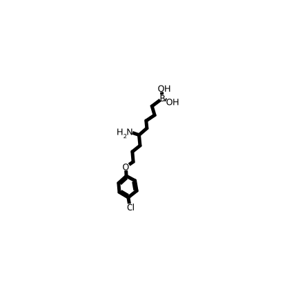 NC(CCCCB(O)O)CCCOc1ccc(Cl)cc1